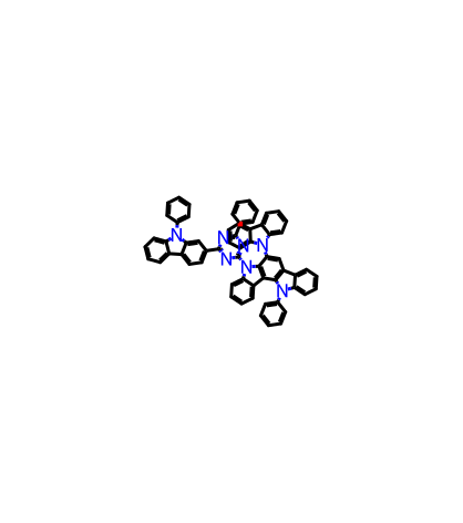 c1ccc(-c2nc(-c3ccc4c5ccccc5n(-c5ccccc5)c4c3)nc(-n3c4ccccc4c4c3c(-n3c5ccccc5c5ccccc53)cc3c5ccccc5n(-c5ccccc5)c34)n2)cc1